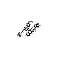 COc1ccc(S(=O)(=O)N(C/C(C)=C\CCCP(=O)(O)O)CC(O)C(Cc2ccccc2)NC(=O)OC2COC3OCCC23)cc1